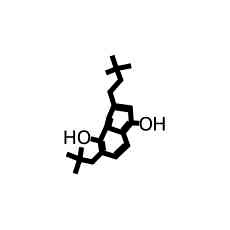 CC(C)(C)CCc1cc(O)c2ccc(CC(C)(C)C)c(O)c2c1